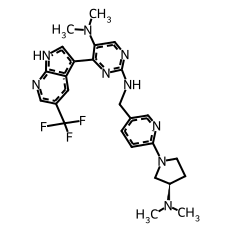 CN(C)c1cnc(NCc2ccc(N3CC[C@@H](N(C)C)C3)nc2)nc1-c1c[nH]c2ncc(C(F)(F)F)cc12